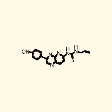 C=CCNC(=S)Nc1ccc2ncc(-c3ccc(N=O)cc3)nc2n1